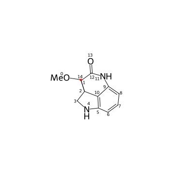 COCC12CNc3cccc(c31)NC(=O)C2